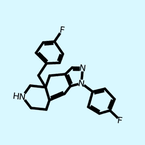 Fc1ccc(CC23CNCCC2=Cc2c(cnn2-c2ccc(F)cc2)C3)cc1